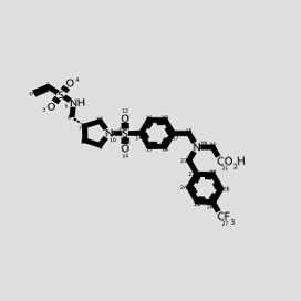 C=CS(=O)(=O)NC[C@H]1CCN(S(=O)(=O)c2ccc(CN(CC(=O)O)Cc3ccc(C(F)(F)F)cc3)cc2)C1